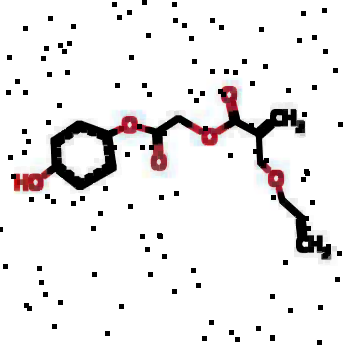 C=CCOCC(=C)C(=O)OCC(=O)Oc1ccc(O)cc1